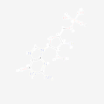 Nc1nc2c(ncn2[C@@H]2O[C@H](COP(=O)(O)O)[C@H](S)[C@@H]2OF)c(=O)[nH]1